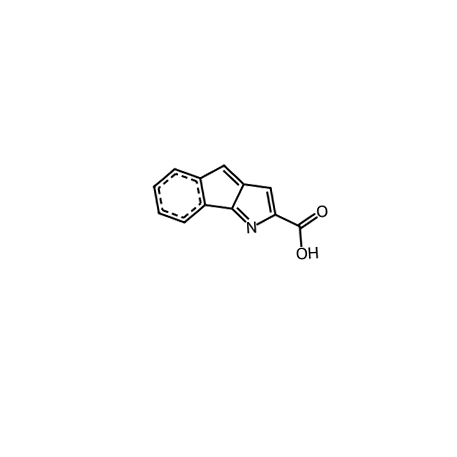 O=C(O)C1=CC2=Cc3ccccc3C2=N1